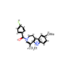 CCOC(=O)C1=CN(C(=O)c2ccc(F)cc2)CCc2c1[nH]c1ccc(OC)cc21